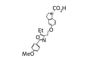 CCc1oc(-c2ccc(OC)cc2)nc1CCOc1ccc2c(c1)CC[C@@H]2CC(=O)O